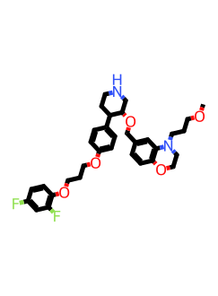 COCCCN1CCOc2ccc(COC3CNCCC3c3ccc(OCCCOc4ccc(F)cc4F)cc3)cc21